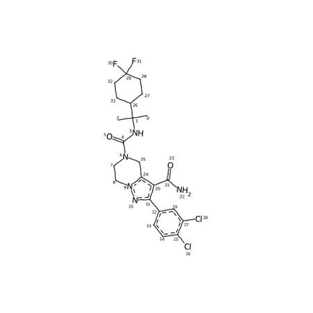 CC(C)(NC(=O)N1CCn2nc(-c3ccc(Cl)c(Cl)c3)c(C(N)=O)c2C1)C1CCC(F)(F)CC1